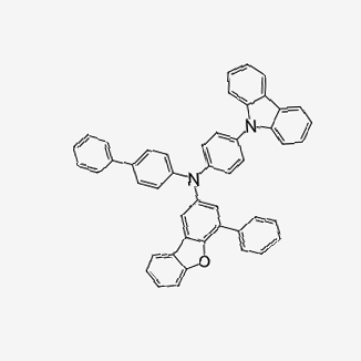 c1ccc(-c2ccc(N(c3ccc(-n4c5ccccc5c5ccccc54)cc3)c3cc(-c4ccccc4)c4oc5ccccc5c4c3)cc2)cc1